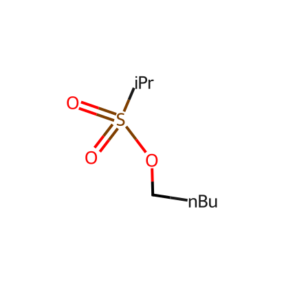 CCCCCOS(=O)(=O)C(C)C